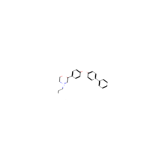 Cl.O=C(O)CCN1CCOC(c2ccc(Oc3ccc(-c4ccccc4)cc3)cc2)C1